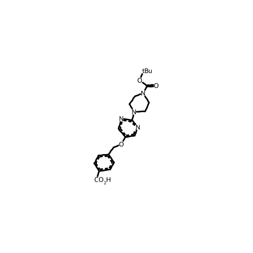 CC(C)(C)OC(=O)N1CCN(c2ncc(OCc3ccc(C(=O)O)cc3)cn2)CC1